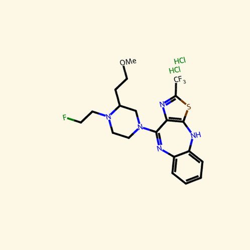 COCCC1CN(C2=Nc3ccccc3Nc3sc(C(F)(F)F)nc32)CCN1CCF.Cl.Cl